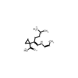 C/C=C\N/C=C(\CCC(C)C)C1(C(=O)O)CC1